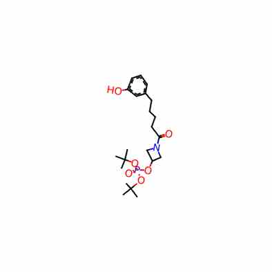 CC(C)(C)OP(=O)(OC1CN(C(=O)CCCCc2cccc(O)c2)C1)OC(C)(C)C